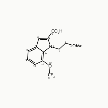 COCCn1c(C(=O)O)cc2cccc(OC(F)(F)F)c21